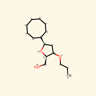 N#CCCOC1C[C@H](C2CCCCCCC2)O[C@@H]1CO